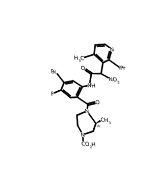 Cc1ccnc(C(C)C)c1C(C(=O)Nc1cc(Br)c(F)cc1C(=O)N1CCN(C(=O)O)C[C@@H]1C)[N+](=O)[O-]